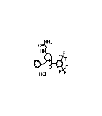 Cl.NC(=O)CNC1CCN(C(=O)c2cc(C(F)(F)F)cc(C(F)(F)F)c2)C(Cc2ccccc2)C1